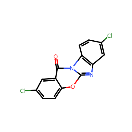 O=c1c2cc(Cl)ccc2oc2nc3cc(Cl)ccc3n12